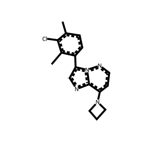 Cc1ccc(-c2[c]nc3c(N4CCC4)ccnn23)c(C)c1Cl